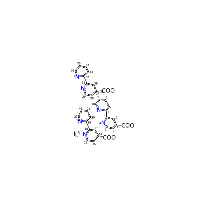 O=C([O-])c1ccnc(-c2ccccn2)c1.O=C([O-])c1ccnc(-c2ccccn2)c1.O=C([O-])c1ccnc(-c2ccccn2)c1.[Ir+3]